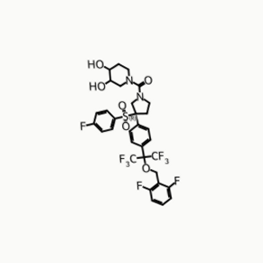 O=C(N1CCC(O)C(O)C1)N1CC[C@](c2ccc(C(OCc3c(F)cccc3F)(C(F)(F)F)C(F)(F)F)cc2)(S(=O)(=O)c2ccc(F)cc2)C1